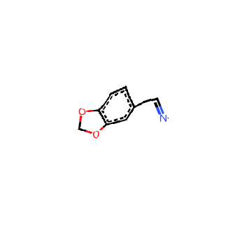 [N]=Cc1ccc2c(c1)OCO2